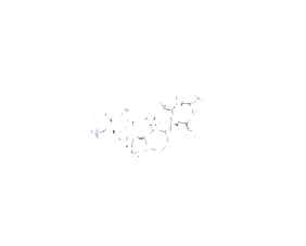 C/N=C1/NC(=O)C(OC)(c2nsc3ccc(-n4c(=O)cc(C(F)(F)F)n(C)c4=O)cc23)N1